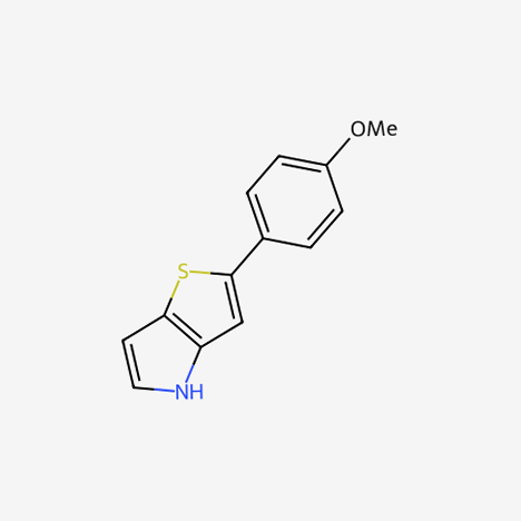 COc1ccc(-c2cc3[nH]ccc3s2)cc1